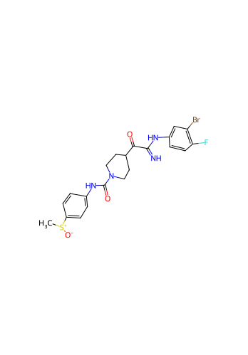 C[S+]([O-])c1ccc(NC(=O)N2CCC(C(=O)C(=N)Nc3ccc(F)c(Br)c3)CC2)cc1